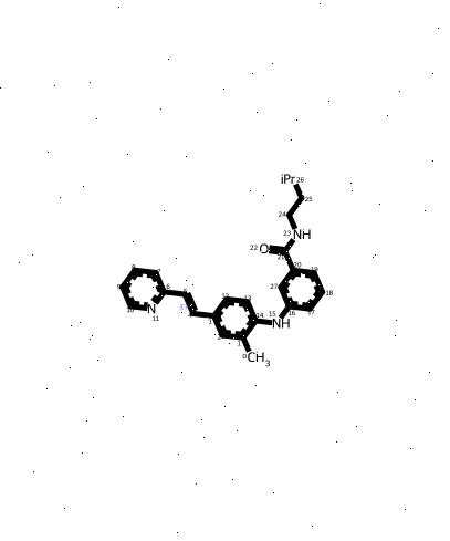 Cc1cc(/C=C/c2ccccn2)ccc1Nc1cccc(C(=O)NCCC(C)C)c1